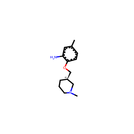 Cc1ccc(OC[C@@H]2CCCN(C)C2)c(N)c1